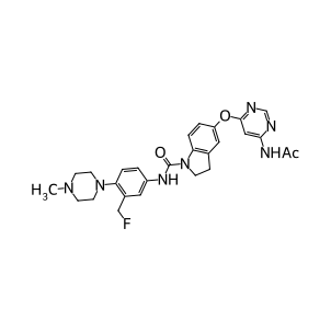 CC(=O)Nc1cc(Oc2ccc3c(c2)CCN3C(=O)Nc2ccc(N3CCN(C)CC3)c(CF)c2)ncn1